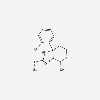 Cc1ccccc1C1(NC(=O)OC(C)(C)C)CCCC(O)C1=O